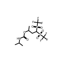 CC(C)NC(=O)OC(C)CC(S(=O)(=O)C(F)(F)F)S(=O)(=O)C(F)(F)F